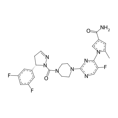 Cc1cc(C(N)=O)cn1-c1nc(N2CCN(C(=O)N3N=CC[C@H]3c3cc(F)cc(F)c3)CC2)ncc1F